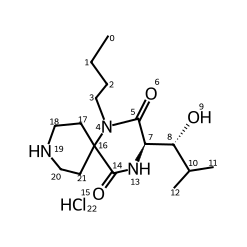 CCCCN1C(=O)[C@@H]([C@H](O)C(C)C)NC(=O)C12CCNCC2.Cl